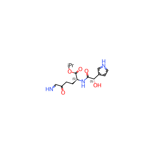 CC(C)OC(=O)[C@H](CCC(=O)C=N)NC(=O)[C@@H](O)c1cc[nH]c1